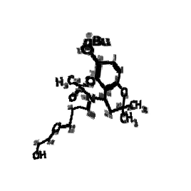 CCCCOc1ccc2c(c1)C(N(CCCOCCO)S(C)(=O)=O)CC(C)(C)O2